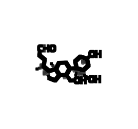 C[C@H](CCC=O)[C@H]1CCC2[C@H](CO)C([C@@]3(C)CC[C@H](O)C[C@@H]3CO)CC[C@@]21C